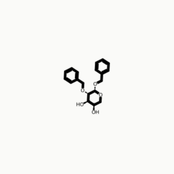 O[C@H]1[C@H](OCc2ccccc2)[C@H](OCc2ccccc2)OC[C@H]1O